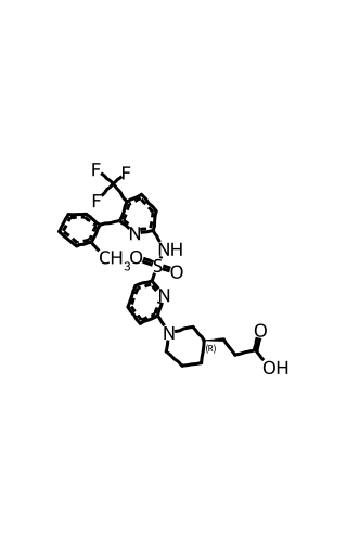 Cc1ccccc1-c1nc(NS(=O)(=O)c2cccc(N3CCC[C@H](CCC(=O)O)C3)n2)ccc1C(F)(F)F